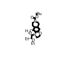 CCO[C@H](CC)C(=O)N1CCOc2cc3c(c(C)c21)CCN(C(=O)OC(C)(C)C)CC3